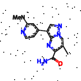 CNc1cc(-c2cnn3cc(C)c(C(N)=O)nc23)ccn1